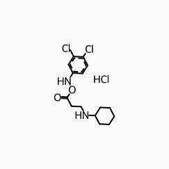 Cl.O=C(CCNC1CCCCC1)ONc1ccc(Cl)c(Cl)c1